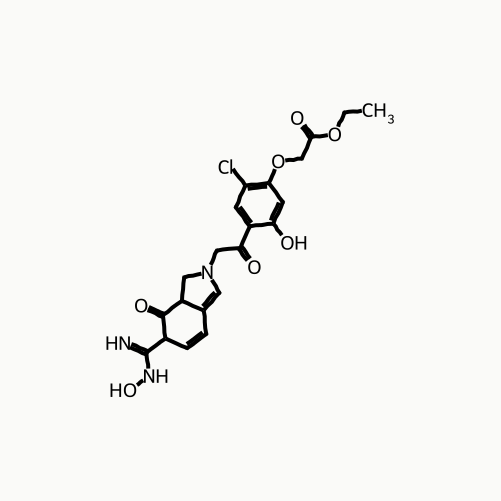 CCOC(=O)COc1cc(O)c(C(=O)CN2C=C3C=CC(C(=N)NO)C(=O)C3C2)cc1Cl